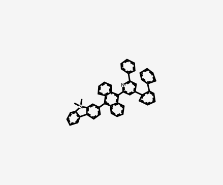 C[Si]1(C)c2ccccc2-c2ccc(-c3c4ccccc4c(-c4cc(-c5ccccc5-c5ccccc5)cc(-c5ccccc5)n4)c4ccccc34)cc21